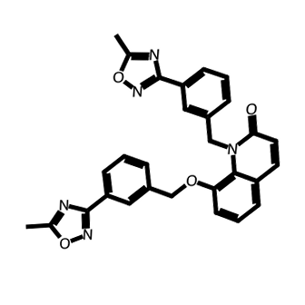 Cc1nc(-c2cccc(COc3cccc4ccc(=O)n(Cc5cccc(-c6noc(C)n6)c5)c34)c2)no1